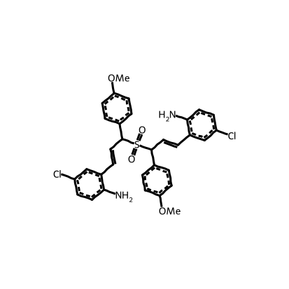 COc1ccc(C(C=Cc2cc(Cl)ccc2N)S(=O)(=O)C(C=Cc2cc(Cl)ccc2N)c2ccc(OC)cc2)cc1